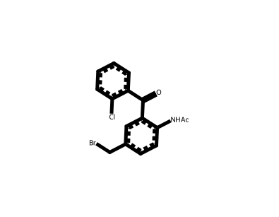 CC(=O)Nc1ccc(CBr)cc1C(=O)c1ccccc1Cl